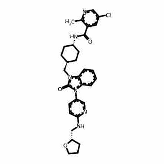 Cc1ncc(Cl)cc1C(=O)N[C@H]1CC[C@H](Cn2c(=O)n(-c3ccc(NC[C@@H]4CCCO4)nc3)c3ccccc32)CC1